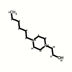 CCCCCCN1CCN(CCO)CC1